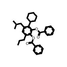 CCCc1cc(CC(C)C)c(C2CCCCC2)c(OC(=O)c2ccccc2)c1OC(=O)c1ccccc1